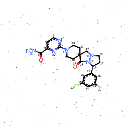 NC(=O)c1ccnc(N2CCC3(CC2)CN2CC[C@@H](c4cc(F)cc(F)c4)N2C3=O)n1